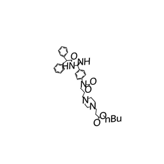 CCCCOC(=O)CCN1CCN(CC2CN(c3ccc(C(=N)NC(=O)C(c4ccccc4)c4ccccc4)cc3)C(=O)O2)CC1